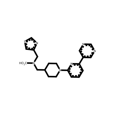 O=C(O)N(Cc1cscn1)CC1CCN(c2cccc(-c3cncnc3)n2)CC1